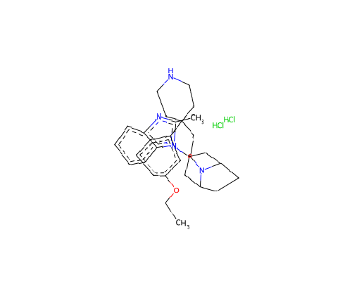 CCOc1cccc(C2(CCN3C4CCC3CC(n3c(C)nc5ccccc53)C4)CCNCC2)c1.Cl.Cl